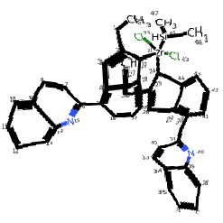 CCC1=Cc2c(-c3ccc4ccccc4n3)cccc2[CH]1[Zr]([Cl])([Cl])([CH]1C(CC)=Cc2c(-c3ccc4ccccc4n3)cccc21)[SiH](C)C